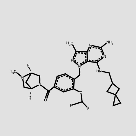 Cc1nn(Cc2ccc(C(=O)N3C[C@H]4C[C@@H]3CN4C)cc2OC(F)F)c2c(NCC3CC4(CC4)C3)nc(N)nc12